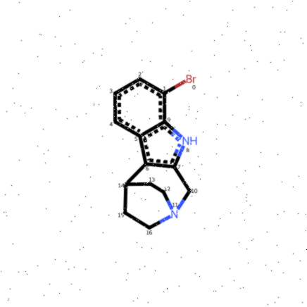 Brc1cccc2c3c([nH]c12)CN1CCC3CC1